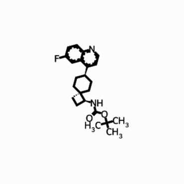 CC(C)(C)OC(=O)N[C@H]1CC[C@]12CC[C@H](c1ccnc3ccc(F)cc31)CC2